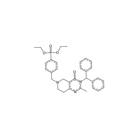 CCOP(=O)(OCC)c1ccc(CN2CCc3nc(C)n(C(c4ccccc4)c4ccccc4)c(=O)c3C2)cc1